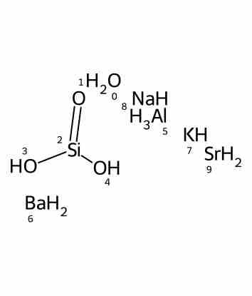 O.O=[Si](O)O.[AlH3].[BaH2].[KH].[NaH].[SrH2]